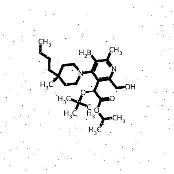 Bc1c(C)nc(CO)c([C@H](OC(C)(C)C)C(=O)OC(C)C)c1N1CCC(C)(CCCC)CC1